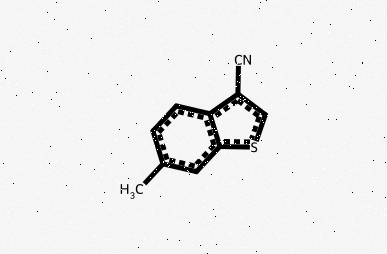 Cc1ccc2c(C#N)csc2c1